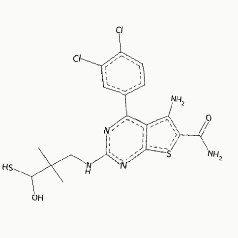 CC(C)(CNc1nc(-c2ccc(Cl)c(Cl)c2)c2c(N)c(C(N)=O)sc2n1)C(O)S